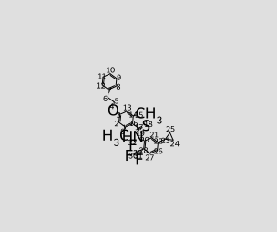 Cc1cc(OCCc2ccccc2)cc(C)c1C(=S)Nc1cc(C2CC2)ccc1C(F)(F)F